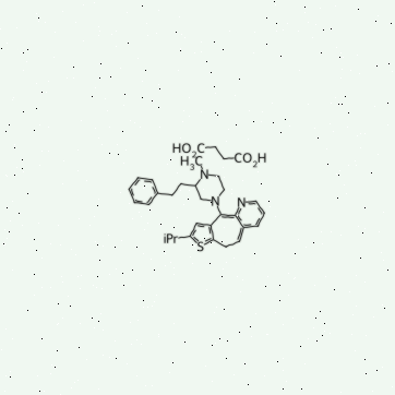 CC(C)c1cc2c(s1)CC=c1cccnc1=C2N1CCN(C)C(CCc2ccccc2)C1.O=C(O)CCC(=O)O